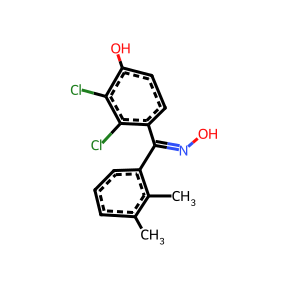 Cc1cccc(C(=NO)c2ccc(O)c(Cl)c2Cl)c1C